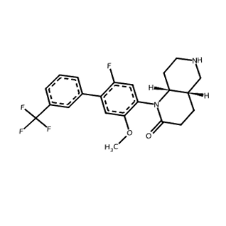 COc1cc(-c2cccc(C(F)(F)F)c2)c(F)cc1N1C(=O)CC[C@H]2CNCC[C@H]21